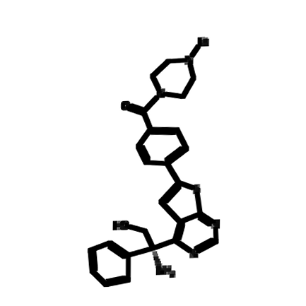 CCN1CCN(C(=O)c2ccc(-c3cc4c([C@](N)(CO)c5ccccc5)ncnc4s3)cc2)CC1